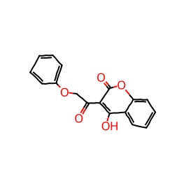 O=C(COc1ccccc1)c1c(O)c2ccccc2oc1=O